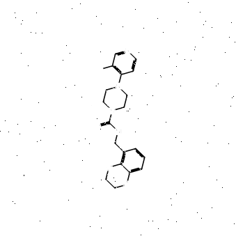 C[C@@H]1CN(c2ccncc2F)CCN1C(=O)NCc1cccc2c1OCCO2